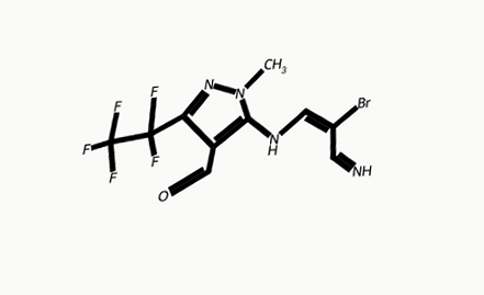 Cn1nc(C(F)(F)C(F)(F)F)c(C=O)c1N/C=C(/Br)C=N